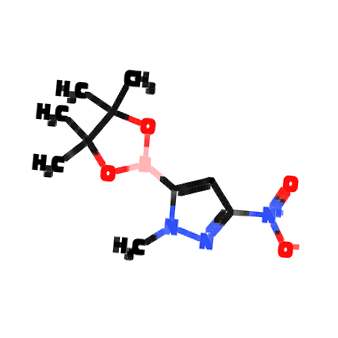 Cn1nc([N+](=O)[O-])cc1B1OC(C)(C)C(C)(C)O1